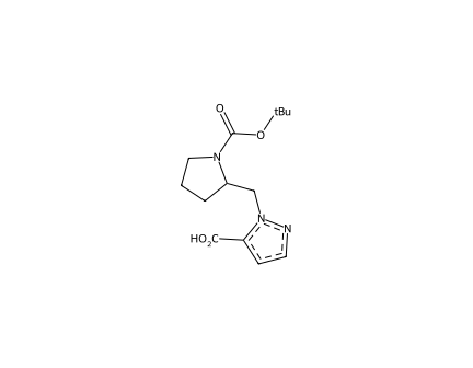 CC(C)(C)OC(=O)N1CCCC1Cn1nccc1C(=O)O